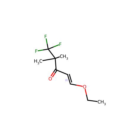 CCO/C=C/C(=O)C(C)(C)C(F)(F)F